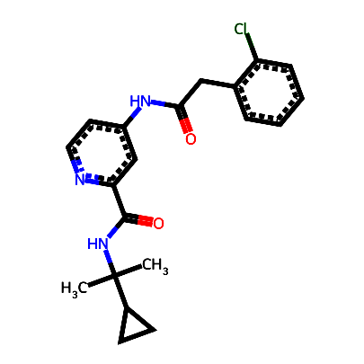 CC(C)(NC(=O)c1cc(NC(=O)Cc2ccccc2Cl)ccn1)C1CC1